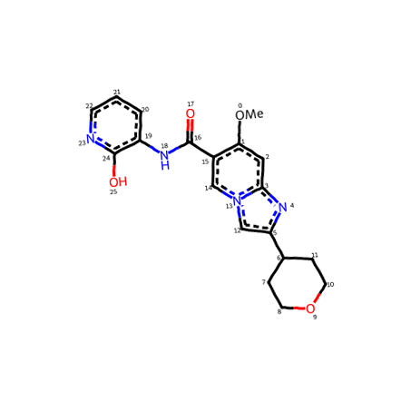 COc1cc2nc(C3CCOCC3)cn2cc1C(=O)Nc1cccnc1O